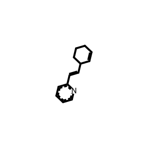 C1=CC(C=Cc2ccccn2)CCC1